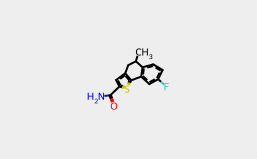 CC1Cc2cc(C(N)=O)sc2-c2cc(F)ccc21